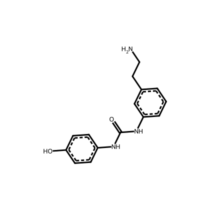 NCCc1cccc(NC(=O)Nc2ccc(O)cc2)c1